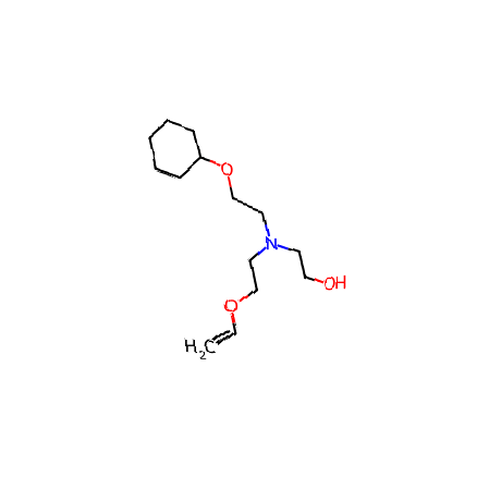 C=COCCN(CCO)CCOC1CCCCC1